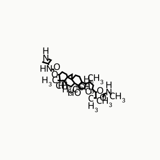 CNC(=O)OC(C(C)C)C1C[C@@H](C)[C@H]2C(O1)[C@H](O)[C@@]1(C)C3CC[C@H]4C(C)(C)C(OC(=O)NC5CNC5)CCC45CC35CCC21C